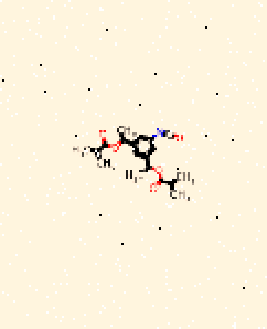 C=C(C)C(=O)OC(C)c1cc(N=C=O)cc(C(C)OC(=O)C(=C)C)c1